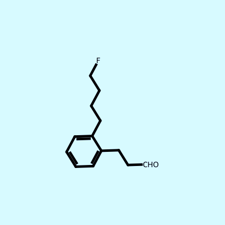 O=CCCc1ccccc1CCCCF